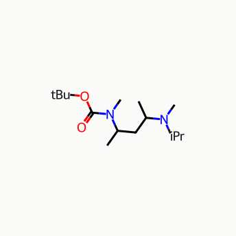 CC(CC(C)N(C)C(C)C)N(C)C(=O)OC(C)(C)C